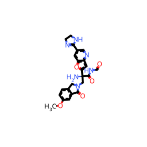 COc1ccc2c(c1)C(=O)N(C[C@@](N)(C(=O)NC=O)c1cc3ncc(C4=NCCN4)cc3o1)C2